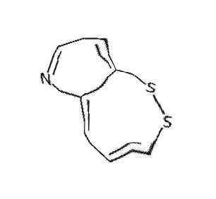 C1=CSSC2=CC=NC2=C1